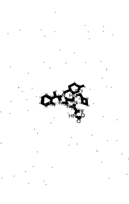 CC1CCC(Cn2c(C(C)c3ccccc3F)nc3nc(-c4noc(=O)[nH]4)nc(N[C@H](C)C4CCC4)c32)CC1